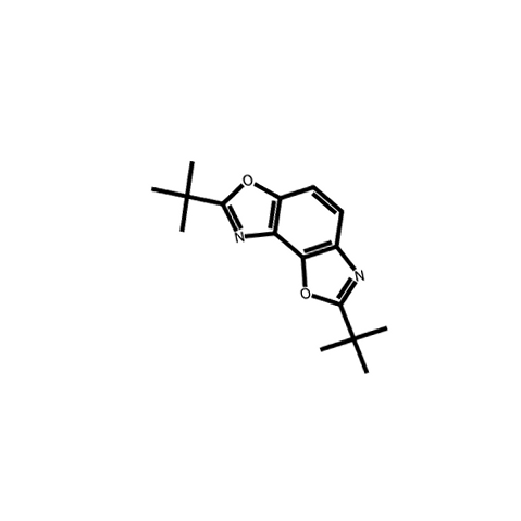 CC(C)(C)c1nc2c(ccc3nc(C(C)(C)C)oc32)o1